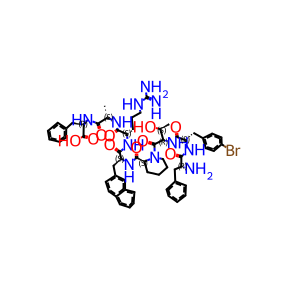 C[C@H](NC(=O)[C@H](CCCNC(=N)N)NC(=O)[C@H](Cc1ccc2ccccc2c1)NC(=O)[C@@H]1CCCCN1C(=O)[C@H](NC(=O)[C@H](Cc1ccc(Br)cc1)NC(=O)[C@H](N)Cc1ccccc1)[C@H](C)O)C(=O)N[C@H](Cc1ccccc1)C(=O)O